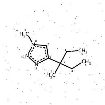 CCC(C)(CC)c1cn(C)nn1